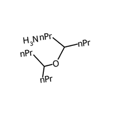 CCCC(CCC)OC(CCC)CCC.N